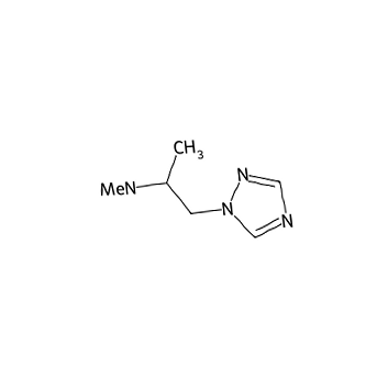 CNC(C)Cn1cncn1